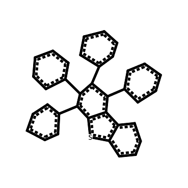 c1ccc(-c2c(-c3ccccc3)c(-c3ccccc3)c3c(sc4ccccc43)c2-c2ccccc2)cc1